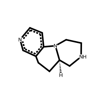 c1cc2c(cn1)CC[C@@H]1CNCCN21